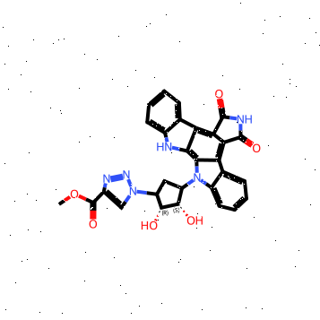 COC(=O)c1cn(C2CC(n3c4ccccc4c4c5c(c6c7ccccc7[nH]c6c43)C(=O)NC5=O)[C@H](O)[C@@H]2O)nn1